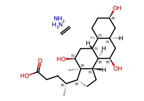 C=C.C[C@H](CCC(=O)O)[C@H]1CC[C@H]2[C@@H]3[C@H](O)C[C@@H]4C[C@H](O)CC[C@]4(C)[C@H]3C[C@H](O)[C@]12C.N.N